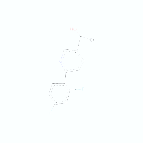 CCC(O)c1ccc(-c2ccc(F)cc2F)nc1